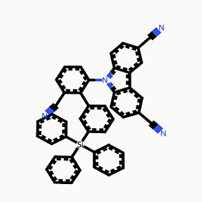 N#Cc1ccc2c(c1)c1cc(C#N)ccc1n2-c1cccc(C#N)c1-c1cccc([Si](c2ccccc2)(c2ccccc2)c2ccccc2)c1